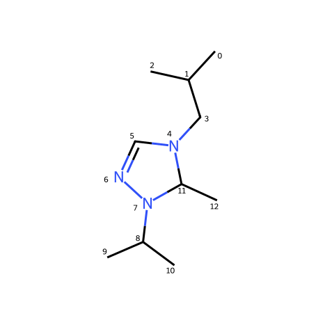 CC(C)CN1C=NN(C(C)C)C1C